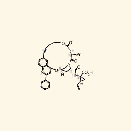 C=C[C@@H]1C[C@]1(NC(=O)[C@@H]1C[C@@H]2CN1C(=O)[C@H](C(C)C)NC(=O)OCCC/C=C\c1ccc3nc(-c4ccccc4)cc(c3c1)O2)C(=O)O